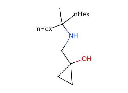 CCCCCCC(C)(CCCCCC)NCC1(O)CC1